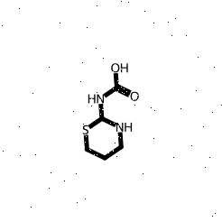 O=C(O)NC1NCCCS1